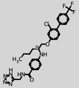 CCCC[C@@H](COc1ccc(-c2ccc(C(F)(F)F)cc2)c(Cl)c1)Nc1ccc(C(=O)NCc2nnn[nH]2)cc1